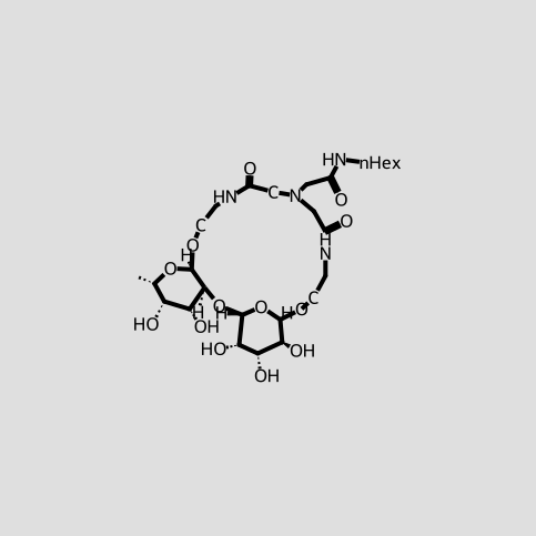 CCCCCCNC(=O)CN1CC(=O)NCCO[C@@H]2O[C@@H](O[C@@H]3[C@H](OCCNC(=O)C1)O[C@@H](C)[C@@H](O)[C@H]3O)[C@@H](O)[C@@H](O)[C@@H]2O